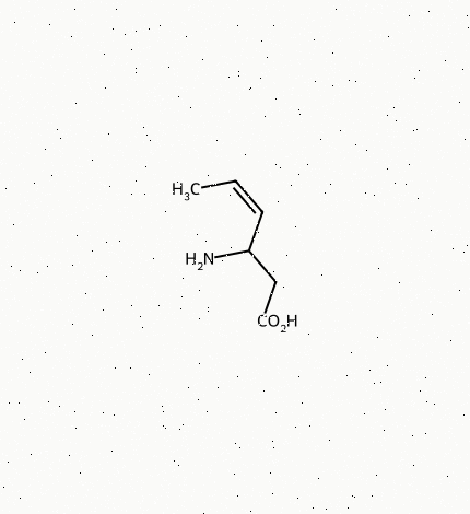 C/C=C\C(N)CC(=O)O